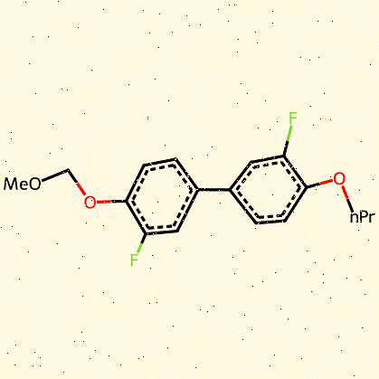 CCCOc1ccc(-c2ccc(OCOC)c(F)c2)cc1F